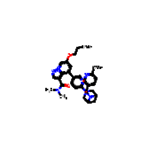 COCCOc1cc(-c2ccc(N3CC4CC(C3)N4Cc3ccc(OC)nc3)nc2)c2c(C(=O)N(C)C)cnn2c1